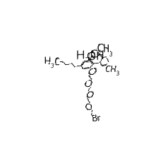 C=C(C)C1CCC(C)=CC1c1c(O)cc(CCCCC)cc1OCCOCCOCCOCCBr